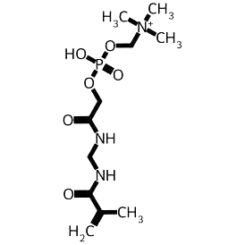 C=C(C)C(=O)NCNC(=O)COP(=O)(O)OC[N+](C)(C)C